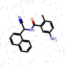 Cc1ccc(N)cc1C(=O)NC(C#N)c1cccc2ccccc12